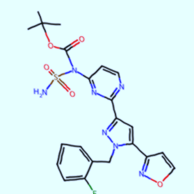 CC(C)(C)OC(=O)N(c1ccnc(-c2cc(-c3ccon3)n(Cc3ccccc3F)n2)n1)S(N)(=O)=O